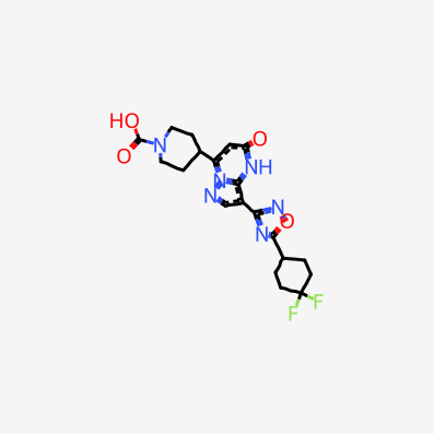 O=C(O)N1CCC(c2cc(=O)[nH]c3c(-c4noc(C5CCC(F)(F)CC5)n4)cnn23)CC1